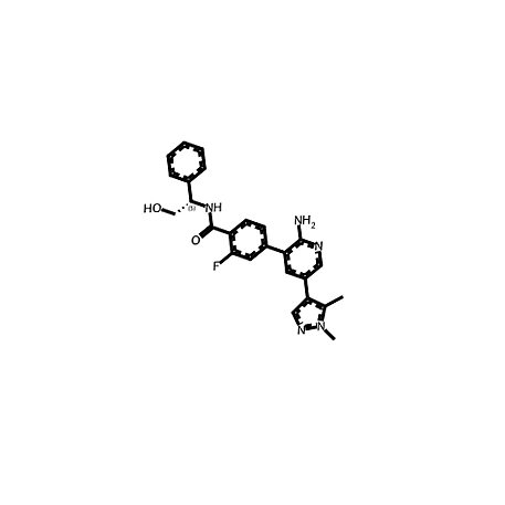 Cc1c(-c2cnc(N)c(-c3ccc(C(=O)N[C@H](CO)c4ccccc4)c(F)c3)c2)cnn1C